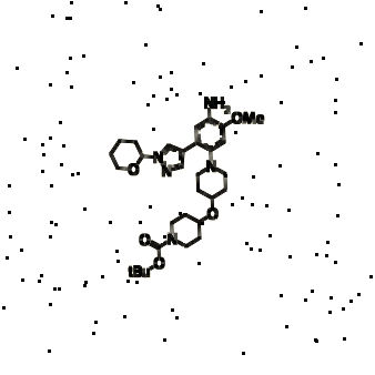 COc1cc(N2CCC(OC3CCN(C(=O)OC(C)(C)C)CC3)CC2)c(-c2cnn(C3CCCCO3)c2)cc1N